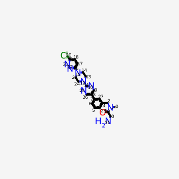 CN(Cc1cccc(-c2cnc(N3CCN(c4ccc(Cl)nn4)CC3)nc2)c1)C(=O)CN